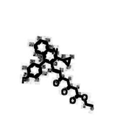 CCOC(=O)CC(=O)CC(=O)/C=C/c1c(C2CC2)nc2ccccc2c1-c1ccc(F)cc1